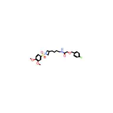 COc1ccc(S(=O)(=O)N2CC(CCCCNC(=O)COCc3ccc(F)cc3)C2)cc1OC